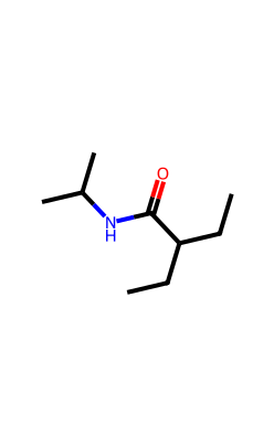 CCC(CC)C(=O)NC(C)C